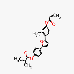 C=CC(=O)Oc1ccc(-c2ccc(-c3ccc(OC(=O)C(=C)C)cc3)o2)c(C)c1